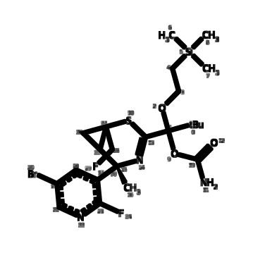 CC(C)(C)C(OCC[Si](C)(C)C)(OC(N)=O)C1=N[C@](C)(c2cc(Br)cnc2F)C2CC2(CF)S1